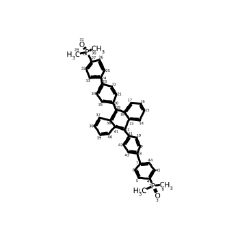 CP(C)(=O)c1ccc(-c2ccc(-c3c4ccccc4c(-c4ccc(-c5ccc(P(C)(C)=O)cc5)cc4)c4ccccc34)cc2)cc1